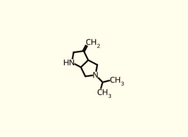 C=C1CNC2CN(C(C)C)CC12